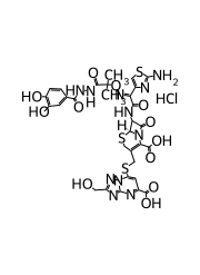 CC(C)(ON=C(C(=O)NC1C(=O)N2C(C(=O)O)=C(CSc3cc(C(=O)O)nc4nc(CO)nn34)CS[C@@H]12)c1csc(N)n1)C(=O)NNC(=O)c1ccc(O)c(O)c1.Cl